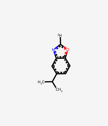 [2H]c1nc2cc(C(C)C)ccc2o1